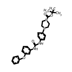 CC(C)(C)OC(=O)N1CCN(c2ccc(NC(=O)Nc3cccc(Oc4ccccc4)c3)cc2)CC1